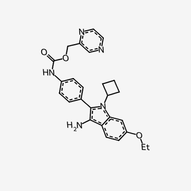 CCOc1ccc2c(N)c(-c3ccc(NC(=O)OCc4cnccn4)cc3)n(C3CCC3)c2c1